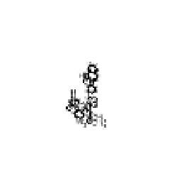 CC(C)(C)CCN1C(=O)[C@H](CC(=O)N2CCC(N3CCc4ccccc4NC3=O)CC2)S[C@@H]1c1ccccc1N1CCNCC1=O